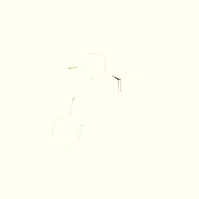 COC(=O)[C@@H]1OC[C@H](F)[C@H]1OC(=O)c1ccccc1